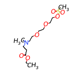 CCOC(=O)CCN(C)CCOCCOCCOS(C)(=O)=O